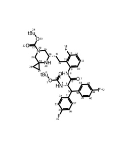 CC(C)(C)OC(=O)N[C@H](C(=O)Nc1cccc(F)c1CC[C@H]1CN(C(=O)OC(C)(C)C)CC2(CC2)N1)C(c1ccc(F)cc1)c1ccc(F)cc1